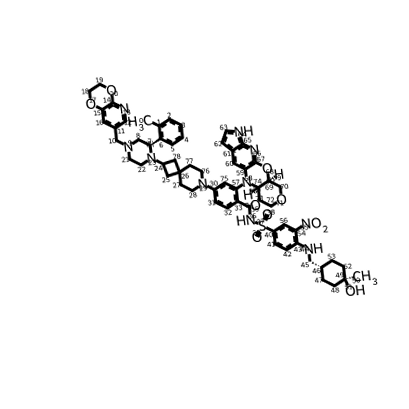 Cc1ccccc1[C@@H]1CN(Cc2cnc3c(c2)OCCO3)CCN1C1CC2(CCN(c3ccc(C(=O)NS(=O)(=O)c4ccc(NC[C@H]5CC[C@](C)(O)CC5)c([N+](=O)[O-])c4)c(N4c5cc6cc[nH]c6nc5O[C@H]5COCC[C@@H]54)c3)CC2)C1